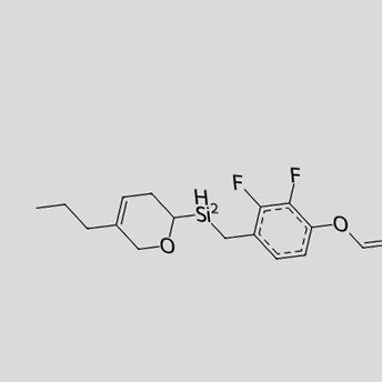 C=COc1ccc(C[SiH2]C2CC=C(CCC)CO2)c(F)c1F